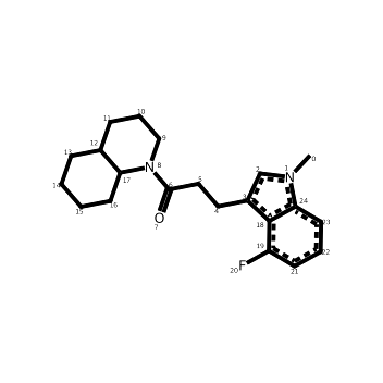 Cn1cc(CCC(=O)N2CCCC3CCCCC32)c2c(F)cccc21